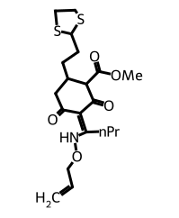 C=CCON/C(CCC)=C1\C(=O)CC(CCC2SCCS2)C(C(=O)OC)C1=O